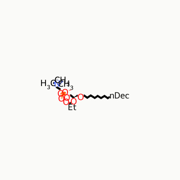 CCCCCCCCCCCCCCCCCCOC[C@H](COP(=O)([O-])OCC[N+](C)(C)C)OC(=O)CC